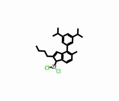 CCCCC1=Cc2c(ccc(C)c2-c2cc(C(C)C)cc(C(C)C)c2)[CH]1[Zr]([Cl])[Cl]